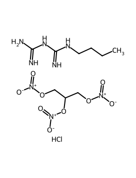 CCCCNC(=N)NC(=N)N.Cl.O=[N+]([O-])OCC(CO[N+](=O)[O-])O[N+](=O)[O-]